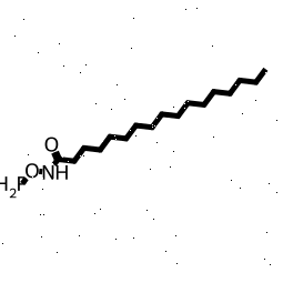 CCCCCCCCCCCCCCCCC(=O)NOP